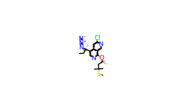 CC[C@@](C)(N=[N+]=[N-])c1cnc(O[C@H](C)CC(C)(C)SC)c2cnc(Cl)cc12